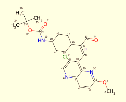 COc1ccc2ncc(Cl)c(/C=C(/C=O)C3CCC(NC(=O)OC(C)(C)C)CC3)c2n1